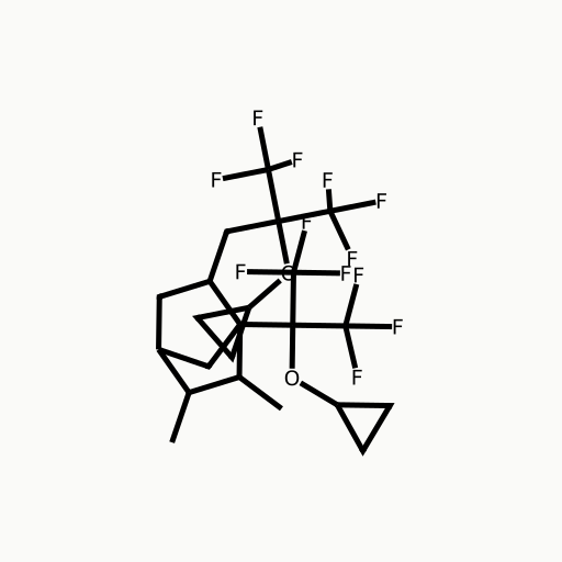 CC1C2CC(CC(OC3CC3)(C(F)(F)F)C(F)(F)F)C(C(OC3CC3)(C(F)(F)F)C(F)(F)F)(C2)C1C